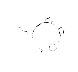 COCCCN1CCCN(C)C(=O)CN2CCN(CC2)Cc2cccc(c2)Nc2cc(ccn2)-c2cnc1nc2